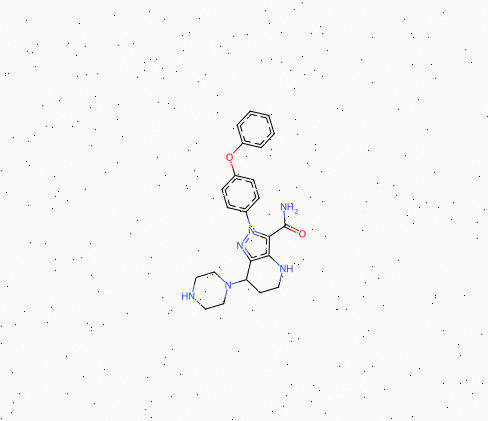 NC(=O)c1c2c(nn1-c1ccc(Oc3ccccc3)cc1)C(N1CCNCC1)CCN2